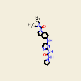 CCN(CC)C(=O)n1ccc2cc(Nc3ccnc(NC(=O)NN4CCCC4)n3)ccc21